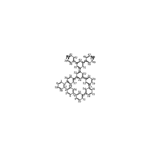 c1ccc(-c2ccc(-c3cccc(-c4cccc(-c5cccc(-c6cc(-c7ccccc7)cc(-c7cc(-c8ccncc8)cc(-c8ccncc8)c7)c6)c5)c4)c3)cc2)cc1